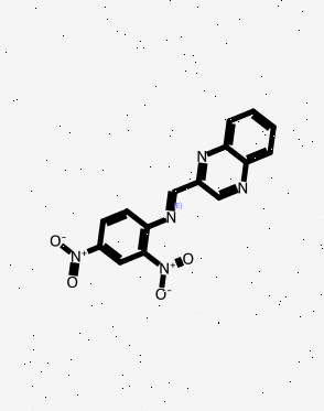 O=[N+]([O-])c1ccc(/N=C/c2cnc3ccccc3n2)c([N+](=O)[O-])c1